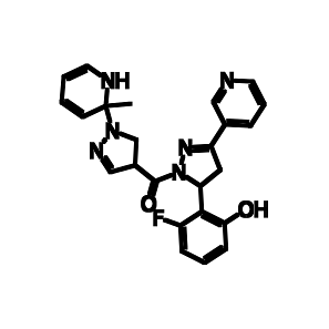 CC1(N2CC(C(=O)N3N=C(c4cccnc4)CC3c3c(O)cccc3F)C=N2)C=CC=CN1